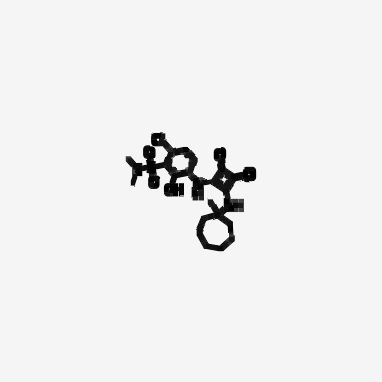 CN(C)S(=O)(=O)c1c(Cl)ccc(Nc2c(NC3(C)CCCCCC3)c(=O)c2=O)c1O